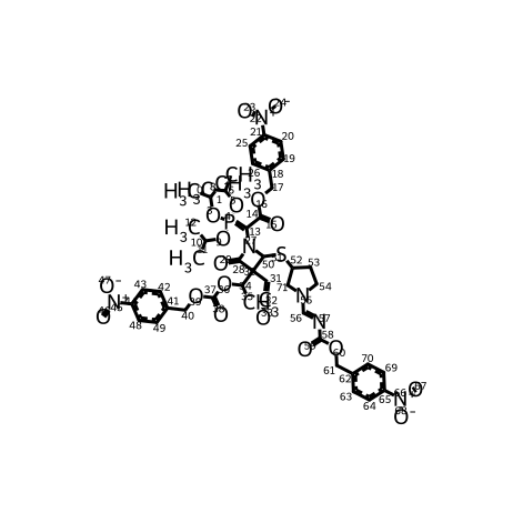 CC(C)OP(OC(C)C)(OC(C)C)=C(C(=O)OCc1ccc([N+](=O)[O-])cc1)N1C(=O)C(C=C=O)(C(C)OC(=O)OCc2ccc([N+](=O)[O-])cc2)C1SC1CCN(C=NC(=O)OCc2ccc([N+](=O)[O-])cc2)C1